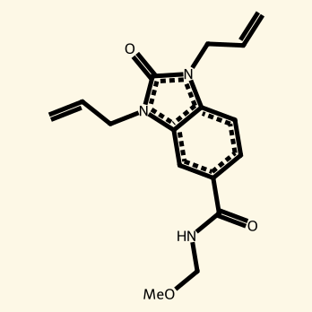 C=CCn1c(=O)n(CC=C)c2cc(C(=O)NCOC)ccc21